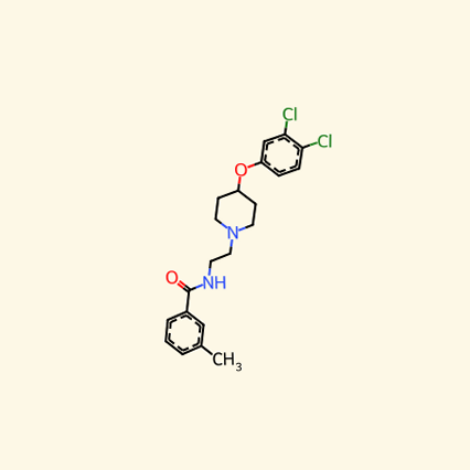 Cc1cccc(C(=O)NCCN2CCC(Oc3ccc(Cl)c(Cl)c3)CC2)c1